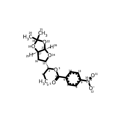 CCC(OC(=O)c1ccc([N+](=O)[O-])cc1)[C@@H]1C[C@H]2OC(C)(C)O[C@H]2O1